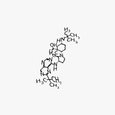 CC(C)(C)N[C@@H]1CC[C@H](N2CC[C@H](Nc3ncnc4cnc(C(C)(C)C)nc34)C2=O)[C@](C)(C(=O)O)C1